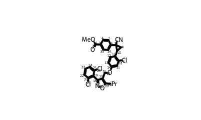 COC(=O)c1ccc(C2(C#N)CC2c2ccc(OCc3c(-c4c(Cl)cccc4Cl)noc3C(C)C)cc2Cl)cc1